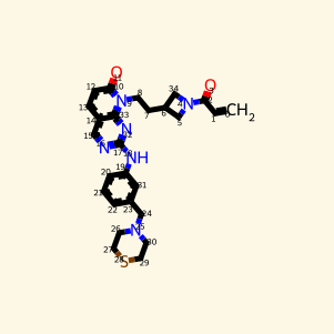 C=CC(=O)N1CC(CCn2c(=O)ccc3cnc(Nc4cccc(CN5CCSCC5)c4)nc32)C1